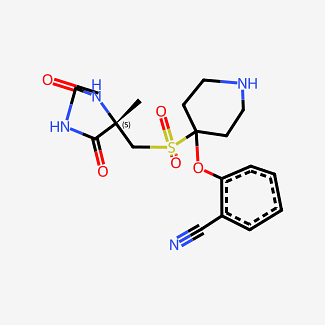 C[C@]1(CS(=O)(=O)C2(Oc3ccccc3C#N)CCNCC2)NC(=O)NC1=O